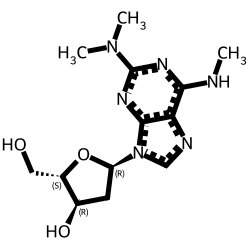 CNc1nc(N(C)C)nc2c1ncn2[C@H]1C[C@@H](O)[C@H](CO)O1